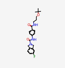 CC(C)(C)OCCCNC(=O)c1ccc(NC(=O)N2Cc3ccc(F)cc3C2)cc1